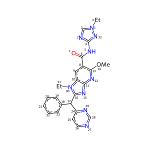 CCn1cnc(NC(=O)c2cc3c(nc2OC)nc(C(c2ccccc2)c2ccncn2)n3CC)n1